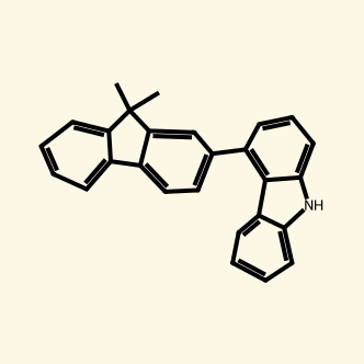 CC1(C)c2ccccc2-c2ccc(-c3cccc4[nH]c5ccccc5c34)cc21